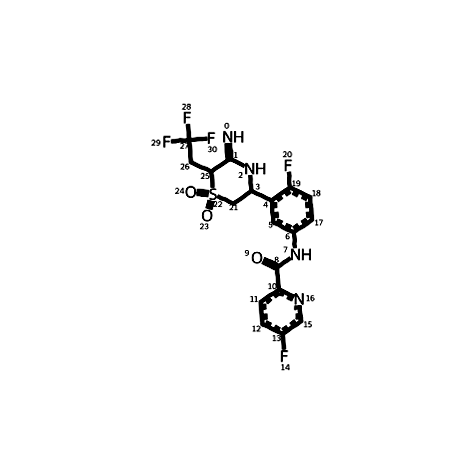 N=C1NC(c2cc(NC(=O)c3ccc(F)cn3)ccc2F)CS(=O)(=O)C1CC(F)(F)F